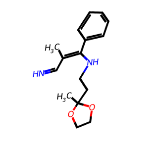 C/C(C=N)=C(/NCCC1(C)OCCO1)c1ccccc1